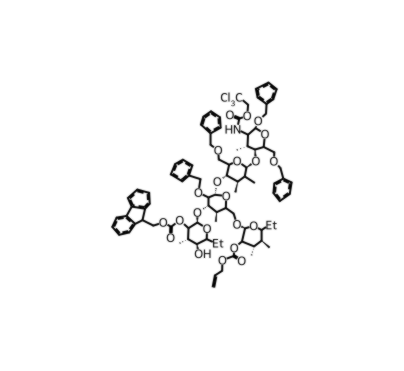 C=CCOC(=O)OC1[C@@H](OCC2O[C@@H](O[C@@H]3C(COCc4ccccc4)O[C@@H](O[C@@H]4C(COCc5ccccc5)O[C@@H](OCc5ccccc5)C(NC(=O)OCC(Cl)(Cl)Cl)[C@H]4C)C(C)[C@H]3C)C(OCc3ccccc3)[C@@H](O[C@H]3OC(CC)[C@@H](O)[C@H](C)C3OC(=O)OCC3c4ccccc4-c4ccccc43)[C@@H]2C)OC(CC)[C@@H](C)[C@@H]1C